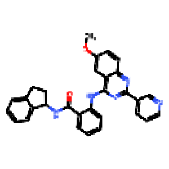 COc1ccc2nc(-c3cccnc3)nc(Nc3ccccc3C(=O)N[C@@H]3CCc4ccccc43)c2c1